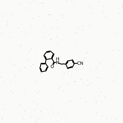 N#Cc1ccc(CNC(=O)c2ccccc2-c2ccccc2)cc1